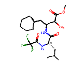 COC(=O)C(O)C(CC1CCCCC1)NC(=O)[C@H](CC(C)C)NC(=O)C(F)(F)F